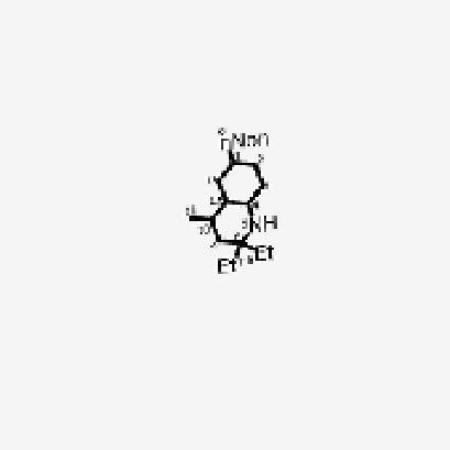 CCCCCCCCCC1CCC2NC(CC)(CC)CC(C)C2C1